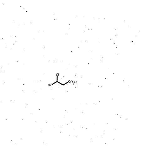 CC(=O)C(Cl)CC(=O)O